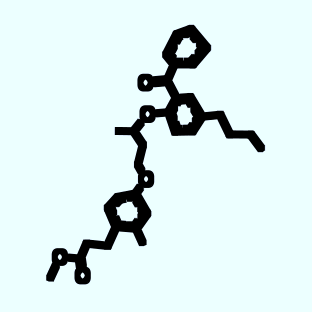 CCCCc1ccc(OC(C)CCOc2ccc(CCC(=O)OC)c(C)c2)c(C(=O)c2ccccc2)c1